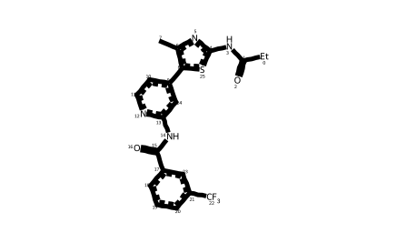 CCC(=O)Nc1nc(C)c(-c2ccnc(NC(=O)c3cccc(C(F)(F)F)c3)c2)s1